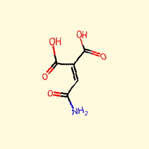 NC(=O)C=C(C(=O)O)C(=O)O